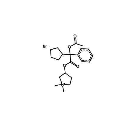 CC(=O)OC(C(=O)OC1CC[N+](C)(C)C1)(c1ccccc1)C1CCCC1.[Br-]